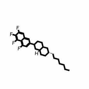 CCCCCCC[C@@H]1CC[C@@H]2CC(c3cc(F)c4c(F)c(F)c(F)cc4c3)CCC2C1